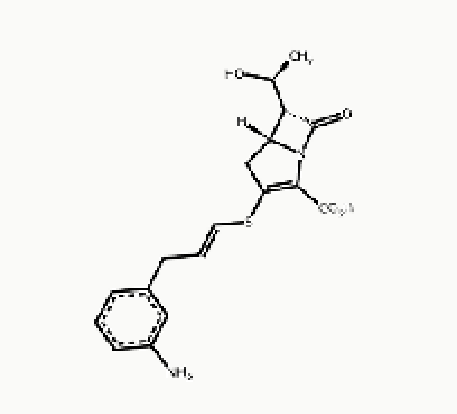 C[C@H](O)[C@@H]1C(=O)N2C(C(=O)O)=C(SC=CCc3cccc(N)c3)C[C@H]12